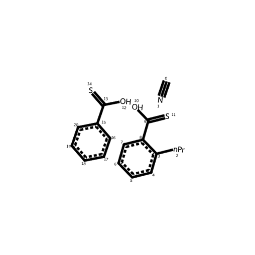 C#N.CCCc1ccccc1C(O)=S.OC(=S)c1ccccc1